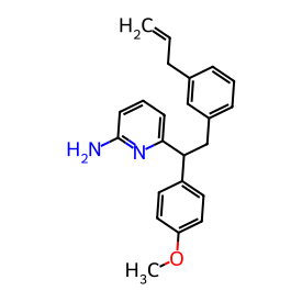 C=CCc1cccc(CC(c2ccc(OC)cc2)c2cccc(N)n2)c1